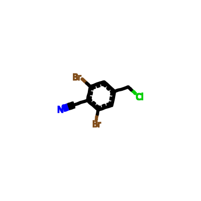 N#Cc1c(Br)cc(CCl)cc1Br